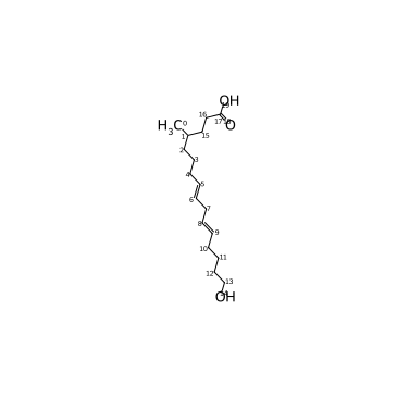 CC(CCC/C=C/C/C=C/CCCCO)CCC(=O)O